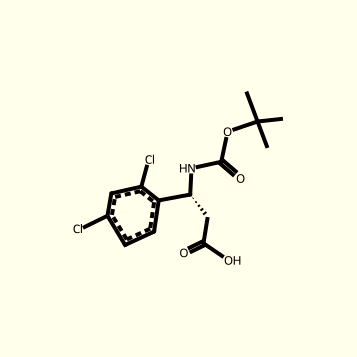 CC(C)(C)OC(=O)N[C@H](CC(=O)O)c1ccc(Cl)cc1Cl